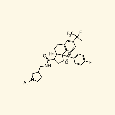 CC(=O)N1CCC(CNC(=O)[C@@H]2CC[C@@]3(S(=O)(=O)c4ccc(F)cc4)c4ccc(C(C)(F)C(F)(F)F)cc4CC[C@@H]23)C1